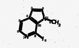 Cn1ccc2ccnc(I)c21